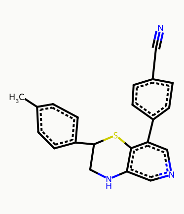 Cc1ccc(C2CNc3cncc(-c4ccc(C#N)cc4)c3S2)cc1